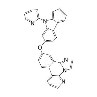 c1ccc(-n2c3ccccc3c3ccc(Oc4ccc5c6cccnc6n6ccnc6c5c4)cc32)nc1